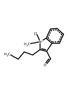 CCCCC1=C(C=O)c2ccccc2[N+]1(C)Cl